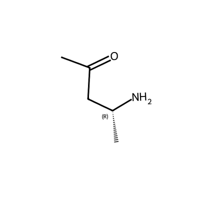 CC(=O)C[C@@H](C)N